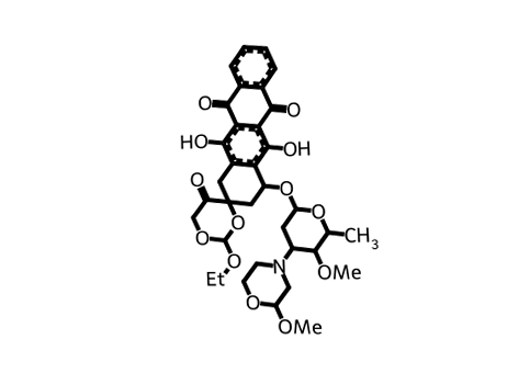 CCOC1OCC(=O)C2(Cc3c(O)c4c(c(O)c3C(OC3CC(N5CCOC(OC)C5)C(OC)C(C)O3)C2)C(=O)c2ccccc2C4=O)O1